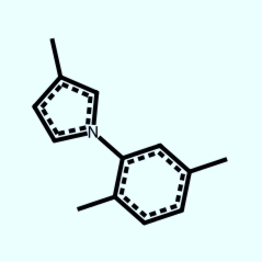 Cc1ccc(C)c(-n2ccc(C)c2)c1